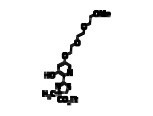 CCOC(=O)[C@@]1(C)CSC(c2ncc(OCCOCCOCCOC)cc2O)=N1